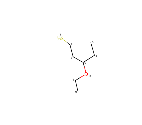 CCOC(CC)CCS